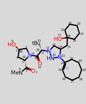 CNC(=O)[C@@H]1C[C@@H](O)CN1C(=O)[C@@H](N1CC(CC2(O)CCCCC2)N(/C2=C/CCCCCC2)N1)C(C)(C)C